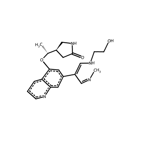 C/N=C\C(=C/NCCO)c1cc(O[C@H](C)[C@H]2CNC(=O)C2)c2cccnc2c1